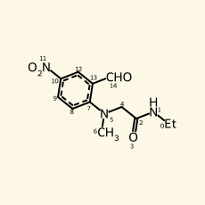 CCNC(=O)CN(C)c1ccc([N+](=O)[O-])cc1C=O